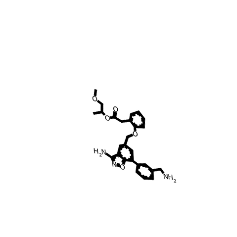 COCC(C)OC(=O)Cc1ccccc1OCc1cc(-c2cccc(CN)c2)c2onc(N)c2c1